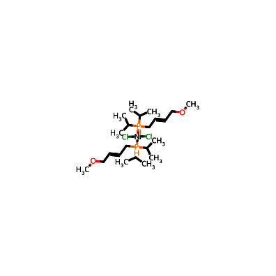 COCC=CC[PH](C(C)C)(C(C)C)[Ni]([Cl])([Cl])[PH](CC=CCOC)(C(C)C)C(C)C